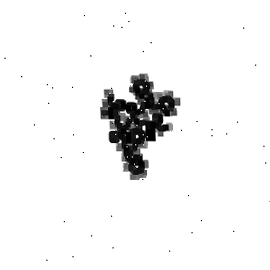 C=CC(=O)NCCN(CCN(CCNC(=O)C=C)C(=O)CCN(Cc1ccccn1)Cc1ccccn1)C(=O)CCN(Cc1ccccn1)Cc1ccccn1